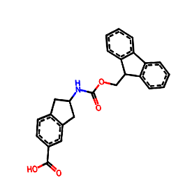 O=C(NC1Cc2ccc(C(=O)O)cc2C1)OCC1c2ccccc2-c2ccccc21